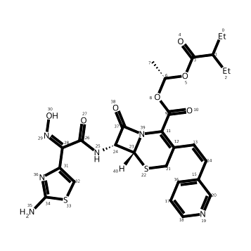 CCC(CC)C(=O)O[C@@H](C)OC(=O)C1=C(/C=C\c2cccnc2)CS[C@@H]2[C@H](NC(=O)/C(=N\O)c3csc(N)n3)C(=O)N12